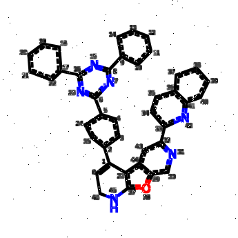 C1=C(c2ccc(-c3nc(-c4ccccc4)nc(-c4ccccc4)n3)cc2)c2c(oc3cnc(-c4ccc5ccccc5n4)cc23)NC1